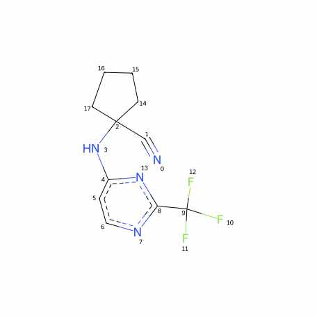 N#CC1(Nc2ccnc(C(F)(F)F)n2)CCCC1